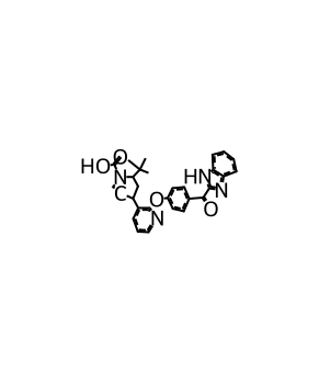 CC(C)(C)C1CC(c2cccnc2Oc2ccc(C(=O)c3nc4ccccc4[nH]3)cc2)CCN1C(=O)O